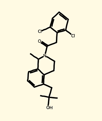 CC1c2cccc(CC(C)(C)O)c2CCN1C(=O)Cc1c(Cl)cccc1Cl